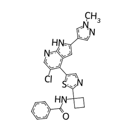 Cn1cc(-c2cc3c(-c4cnc(C5(NC(=O)c6ccccc6)CCC5)s4)c(Cl)cnc3[nH]2)cn1